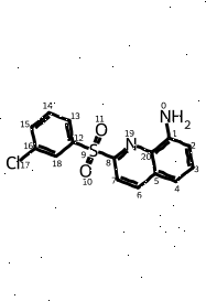 Nc1cccc2ccc(S(=O)(=O)c3cccc(Cl)c3)nc12